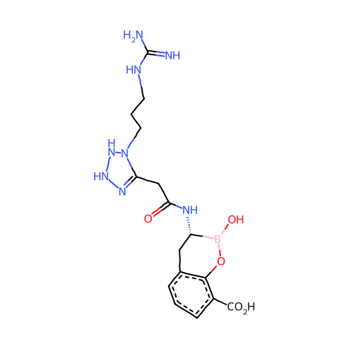 N=C(N)NCCCN1NNN=C1CC(=O)N[C@H]1Cc2cccc(C(=O)O)c2OB1O